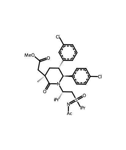 COC(=O)C[C@@]1(C)C[C@H](c2cccc(Cl)c2)[C@@H](c2ccc(Cl)cc2)N([C@H](CS(=O)(=NC(C)=O)C(C)C)C(C)C)C1=O